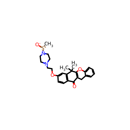 C[S+]([O-])N1CCN(CCOc2ccc3c(c2)C(C)(C)C2=C(Cc4ccccc4O2)C3=O)CC1